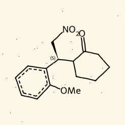 COc1ccccc1[C@@H](C[N+](=O)[O-])C1CCCCC1=O